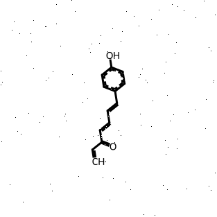 [CH]=CC(=O)C=CC=Cc1ccc(O)cc1